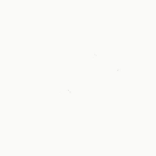 C#CCC(=O)NCCCCC(N)C(=O)S